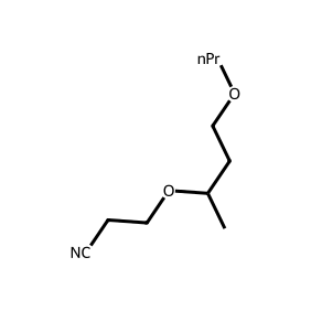 CCCOCCC(C)OCCC#N